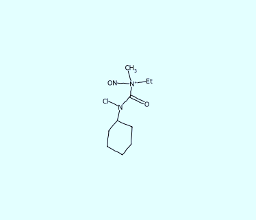 CC[N+](C)(N=O)C(=O)N(Cl)C1CCCCC1